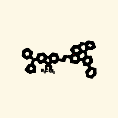 CCC1(CC)c2cc(/C=C/c3ccc(-c4cc(C5=CCCC=C5)ccc4N4c5ccccc5Oc5ccccc54)cc3)ccc2-c2ccc(N(c3ccccc3)c3ccccc3)cc21